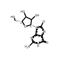 Nc1nc2c(nc(Cl)n2[C@@H]2O[C@H](CO)C(O)C2O)c(=O)[nH]1